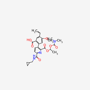 C=Cc1cc(C(=O)O)c(-c2ccc(C(=O)NCC3CC3)nc2C(=O)OC(C)OC(=O)N(C)C)cc1OC